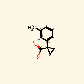 Cc1cccc(C2(C(=O)O)CC2)c1